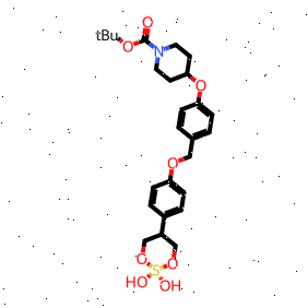 CC(C)(C)OC(=O)N1CCC(Oc2ccc(COc3ccc(C4COS(O)(O)OC4)cc3)cc2)CC1